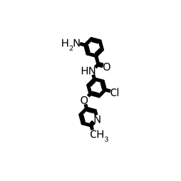 Cc1ccc(Oc2cc(Cl)cc(NC(=O)c3cccc(N)c3)c2)cn1